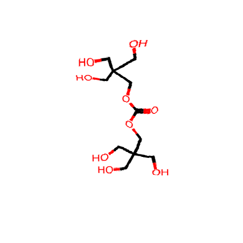 O=C(OCC(CO)(CO)CO)OCC(CO)(CO)CO